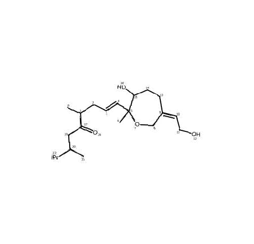 CC(CC=CC1(C)OCC(=CCO)CCC1O)C(=O)CC(C)C(C)C